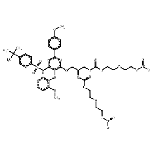 COc1ccc(-c2nc(NS(=O)(=O)c3ccc(C(C)(C)C)cn3)c(Oc3ccccc3OC)c(OCC(COC(=O)OCCOCCO[N+](=O)[O-])OC(=O)OCCOCCO[N+](=O)[O-])n2)cc1